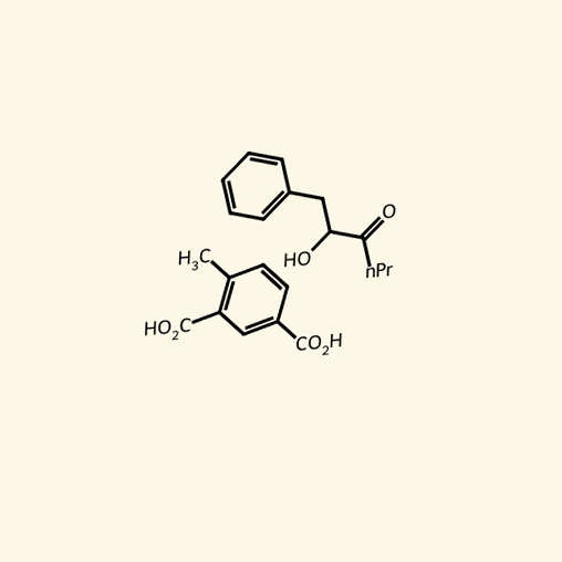 CCCC(=O)C(O)Cc1ccccc1.Cc1ccc(C(=O)O)cc1C(=O)O